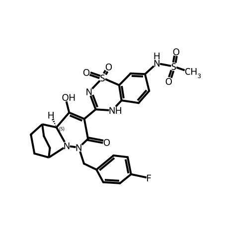 CS(=O)(=O)Nc1ccc2c(c1)S(=O)(=O)N=C(C1=C(O)[C@@H]3C4CCC(CC4)N3N(Cc3ccc(F)cc3)C1=O)N2